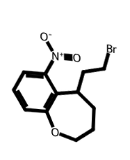 O=[N+]([O-])c1cccc2c1C(CCBr)CCCO2